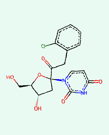 O=C(Cc1ccccc1Cl)[C@]1(n2ccc(=O)[nH]c2=O)C[C@H](O)[C@@H](CO)O1